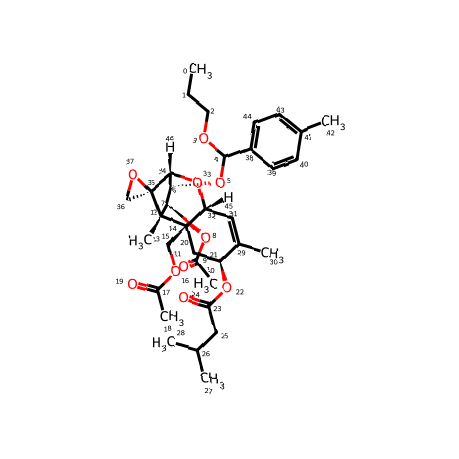 CCCOC(O[C@@H]1[C@@H](OC(C)=O)[C@]2(C)[C@@]3(COC(C)=O)C[C@H](OC(=O)CC(C)C)C(C)=C[C@H]3O[C@H]1[C@@]21CO1)c1ccc(C)cc1